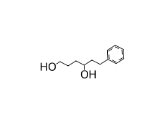 OCCCC(O)CCc1ccccc1